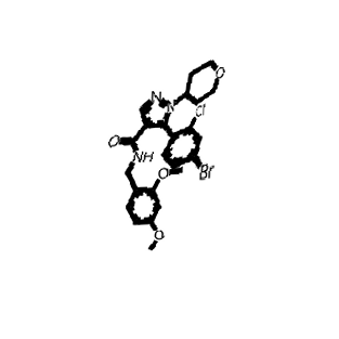 COc1ccc(CNC(=O)c2cnn(C3CCOCC3)c2-c2ccc(Br)cc2Cl)c(OC)c1